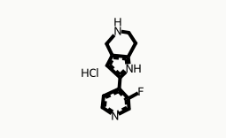 Cl.Fc1cnccc1-c1cc2c([nH]1)CCNC2